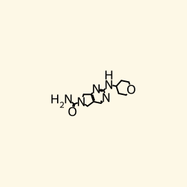 NC(=O)N1Cc2cnc(NC3CCOCC3)nc2C1